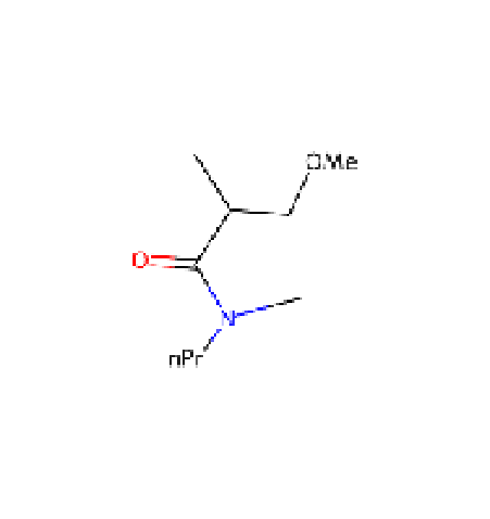 CCCN(C)C(=O)C(C)COC